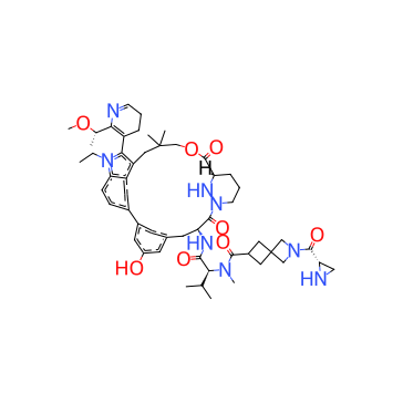 CCn1c(C2=C([C@H](C)OC)N=CCC2)c2c3cc(ccc31)-c1cc(O)cc(c1)C[C@H](NC(=O)[C@H](C(C)C)N(C)C(=O)C1CC3(C1)CN(C(=O)[C@@H]1CN1)C3)C(=O)N1CCC[C@H](N1)C(=O)OCC(C)(C)C2